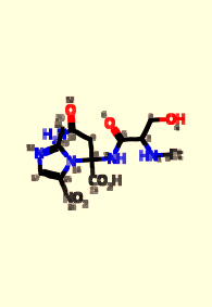 CCNC(CO)C(=O)NC(CC(N)=O)(C(=O)O)n1c([N+](=O)[O-])cnc1C